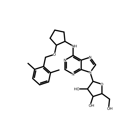 Cc1cccc(C)c1COC1CCCC1Nc1ncnc2c1ncn2C1OC(CO)C(O)C1O